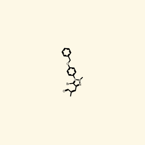 CC(C=O)=CC1=NN(C)S(c2ccc(OCc3ccccc3)cc2)=C1Br